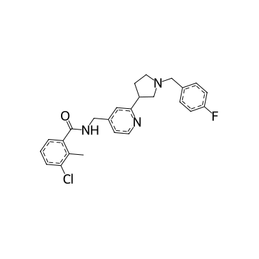 Cc1c(Cl)cccc1C(=O)NCc1ccnc(C2CCN(Cc3ccc(F)cc3)C2)c1